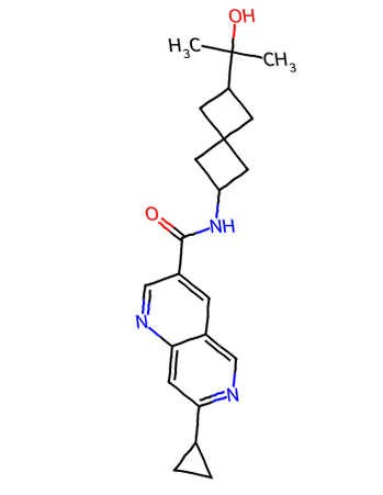 CC(C)(O)C1CC2(CC(NC(=O)c3cnc4cc(C5CC5)ncc4c3)C2)C1